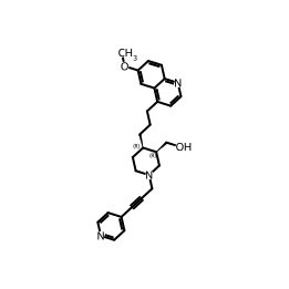 COc1ccc2nccc(CCC[C@@H]3CCN(CC#Cc4ccncc4)C[C@@H]3CO)c2c1